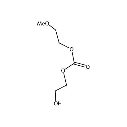 COCCOC(=O)OCCO